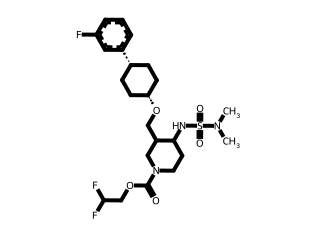 CN(C)S(=O)(=O)NC1CCN(C(=O)OCC(F)F)CC1CO[C@H]1CC[C@@H](c2cccc(F)c2)CC1